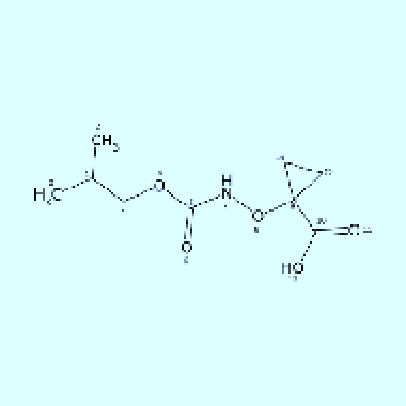 CC(C)COC(=O)NOC1(C(=O)O)CC1